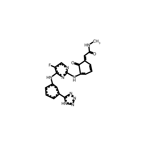 CNC(=O)C=C1C=CC=C(Nc2ncc(F)c(Nc3cccc(-c4nnn[nH]4)c3)n2)C1=O